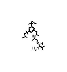 CC(C)=C(N)NCCC(C)NC(C)Cc1cc(C(C)(C)CC(C)C)cc(C2(C)CN2C)c1